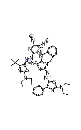 [C-]#[N+]c1nc(/N=N/c2sc(N(CC)CC)nc2-c2ccccc2)n(Cc2ccccc2Cn2c(/N=N/c3sc(N(CC)CC)nc3C(C)(C)C)nc([N+]#[C-])c2[N+]#[C-])c1[N+]#[C-]